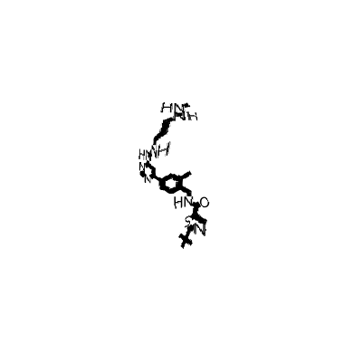 CNNCCCNNc1cc(-c2ccc(CNC(=O)c3cnc(C(C)(C)C)s3)c(C)c2)ncn1